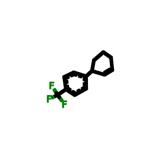 FC(F)(F)c1ccc(C2C=CCCC2)cc1